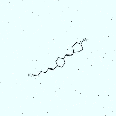 C=CCCC=CC1CCC(C=CC2CCC(CCC)CC2)CC1